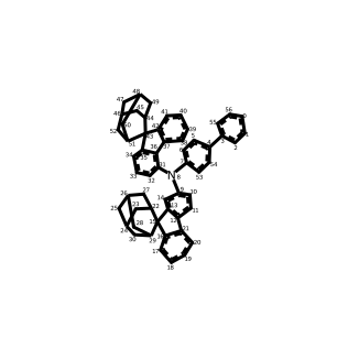 c1ccc(-c2ccc(N(c3ccc4c(c3)C3(c5ccccc5-4)C4CC5CC(C4)CC3C5)c3cccc4c3-c3ccccc3C43C4CC5CC(C4)CC3C5)cc2)cc1